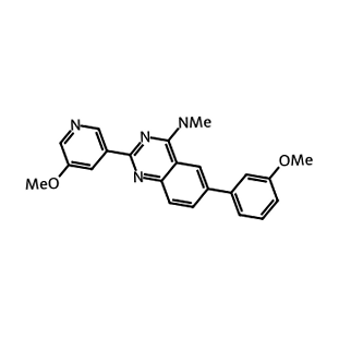 CNc1nc(-c2cncc(OC)c2)nc2ccc(-c3cccc(OC)c3)cc12